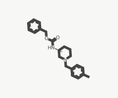 Cc1ccc(CN2CCC[C@@H](NC(=O)OCc3ccccc3)C2)cc1